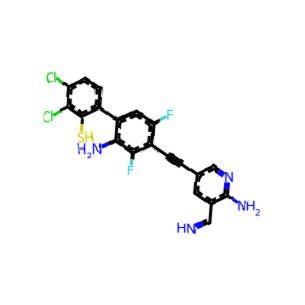 N=Cc1cc(C#Cc2c(F)cc(-c3ccc(Cl)c(Cl)c3S)c(N)c2F)cnc1N